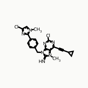 Cn1cc(Cl)nc1-c1ccc(Cn2c(=N)n(C)c3c(C#CC4CC4)nc(Cl)nc32)cc1